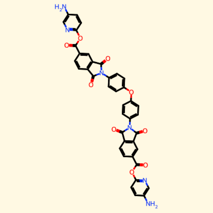 Nc1ccc(OC(=O)c2ccc3c(c2)C(=O)N(c2ccc(Oc4ccc(N5C(=O)c6ccc(C(=O)Oc7ccc(N)cn7)cc6C5=O)cc4)cc2)C3=O)nc1